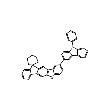 c1ccc(-n2c3ccccc3c3cc(-c4ccc5sc6cc7c(cc6c5c4)C4(CCCCC4)c4ccccc4-7)ccc32)cc1